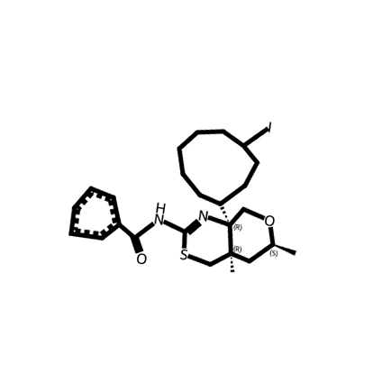 C[C@H]1C[C@@]2(C)CSC(NC(=O)c3ccccc3)=N[C@@]2(C2CCCCCC(I)CC2)CO1